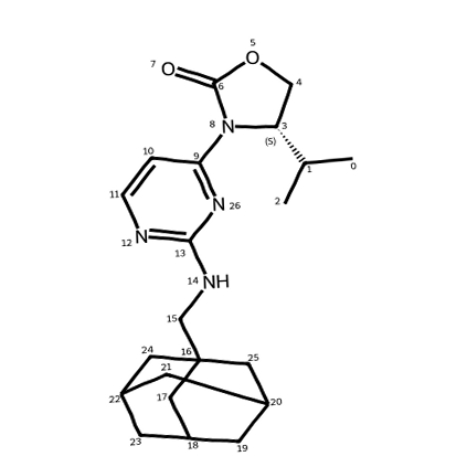 CC(C)[C@H]1COC(=O)N1c1ccnc(NCC23CC4CC(CC(C4)C2)C3)n1